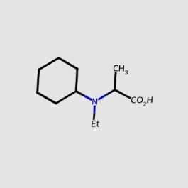 CCN(C1CCCCC1)C(C)C(=O)O